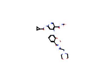 BC(B)(B)NC(=O)c1cnc(NC(=O)C2CC2)cc1Nc1cccc(-c2nc(CN3C[C@@H](C)O[C@@H](C)C3)no2)c1OC